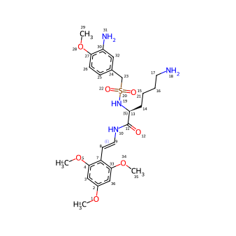 COc1cc(OC)c(/C=C/NC(=O)[C@H](CCCCN)NS(=O)(=O)Cc2ccc(OC)c(N)c2)c(OC)c1